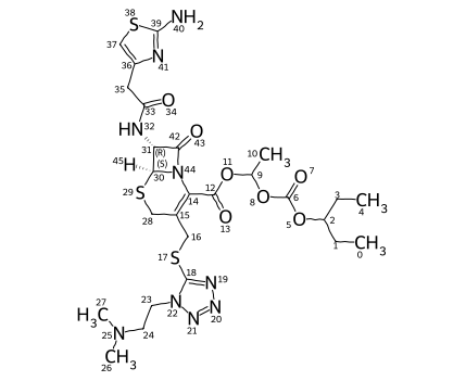 CCC(CC)OC(=O)OC(C)OC(=O)C1=C(CSc2nnnn2CCN(C)C)CS[C@H]2[C@H](NC(=O)Cc3csc(N)n3)C(=O)N12